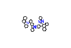 c1cc(-n2c3ccccc3c3ccc4ccccc4c32)c2cc3c4ccccc4n(-c4ccc(-c5c(-c6cnc7ccccc7n6)c6ccccc6c6ccccc56)cc4)c3cc2c1